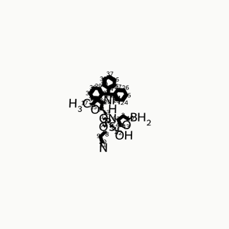 B[C@H]1C[C@@H](NP(=S)(OCCC#N)OC[C@H]2O[C@@H](C)C[C@H]2NC(c2ccccc2)(c2ccccc2)c2ccccc2)[C@@H](CO)O1